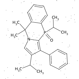 CC(C)c1cn2c(c1-c1ccccc1)P(=O)(C(C)C)c1ccccc1C2(C)C